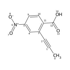 CC#Cc1cc([N+](=O)[O-])ccc1C(=O)O